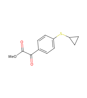 COC(=O)C(=O)c1ccc(SC2CC2)cc1